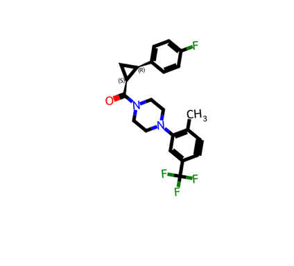 Cc1c#cc(C(F)(F)F)cc1N1CCN(C(=O)[C@H]2C[C@H]2c2ccc(F)cc2)CC1